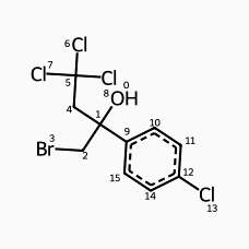 OC(CBr)(CC(Cl)(Cl)Cl)c1ccc(Cl)cc1